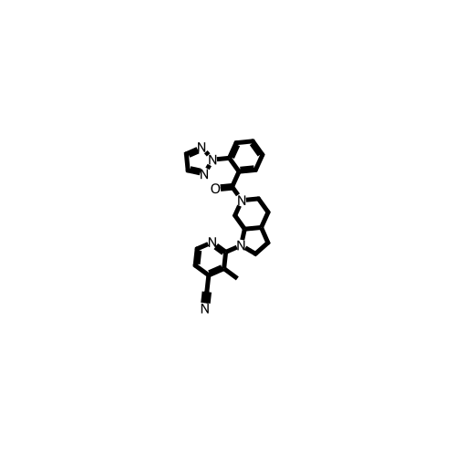 Cc1c(C#N)ccnc1N1CCC2CCN(C(=O)c3ccccc3-n3nccn3)CC21